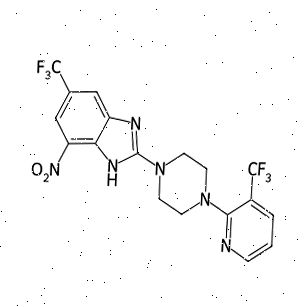 O=[N+]([O-])c1cc(C(F)(F)F)cc2nc(N3CCN(c4ncccc4C(F)(F)F)CC3)[nH]c12